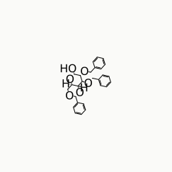 O[C@H]1O[C@@H]2COC(c3ccccc3)O[C@H]2[C@H](OCc2ccccc2)[C@H]1OCc1ccccc1